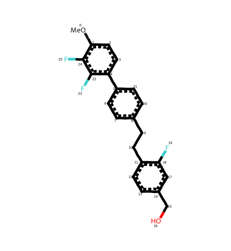 COc1ccc(-c2ccc(CCc3ccc(CO)cc3F)cc2)c(F)c1F